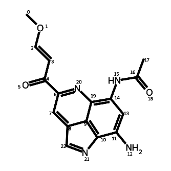 CO/C=C/C(=O)c1cc2c3c(c(N)cc(NC(C)=O)c3n1)N=C2